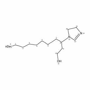 CCCCCCCCCCCCCCCCCC(CCO)N1C=NCC1